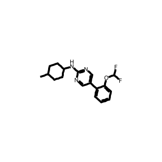 CC1CCC(Nc2ncc(-c3ccccc3OC(F)F)cn2)CC1